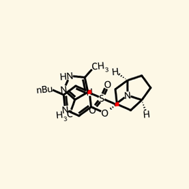 CCCCc1cnc(O[C@@H]2C[C@H]3CC[C@@H](C2)N3CS(=O)(=O)c2c(C)n[nH]c2C)cn1